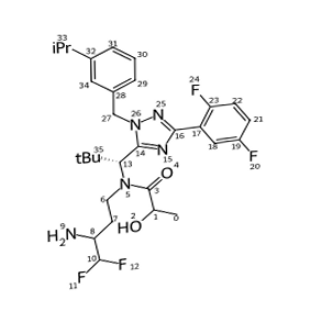 CC(O)C(=O)N(CCC(N)C(F)F)[C@@H](c1nc(-c2cc(F)ccc2F)nn1Cc1cccc(C(C)C)c1)C(C)(C)C